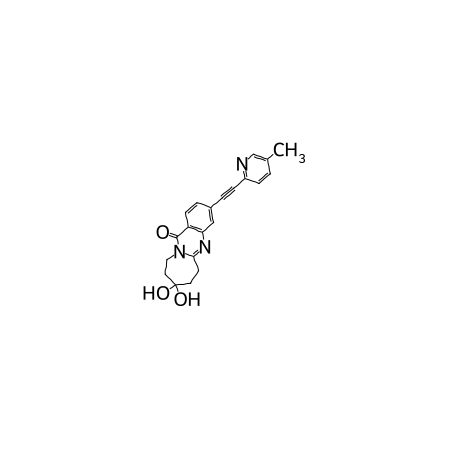 Cc1ccc(C#Cc2ccc3c(=O)n4c(nc3c2)CCC(O)(O)CC4)nc1